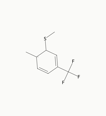 CSC1C=C(C(F)(F)F)C=C[C]1C